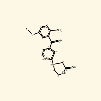 CC(C)Oc1ccc(N)c(C(=N)c2ccnc(N3CCNC(=O)C3)c2)c1